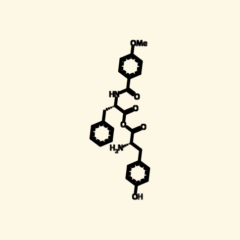 COc1ccc(C(=O)N[C@@H](Cc2ccccc2)C(=O)OC(=O)[C@@H](N)Cc2ccc(O)cc2)cc1